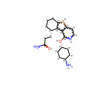 NC(=O)CC[C@@H]1CCCc2sc3ccnc(O[C@H]4CC[C@H](N)CC4)c3c21